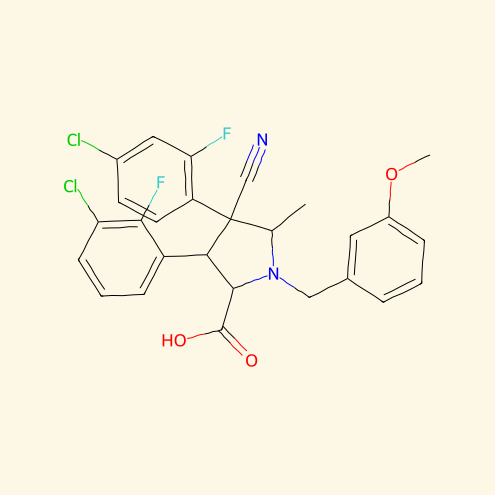 COc1cccc(CN2C(C(=O)O)C(c3cccc(Cl)c3F)C(C#N)(c3ccc(Cl)cc3F)C2C)c1